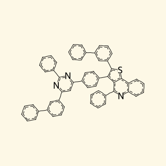 c1ccc(-c2cccc(-c3cc(-c4ccc(-c5c(-c6cccc(-c7ccccc7)c6)sc6c5c(-c5ccccc5)nc5ccccc56)cc4)nc(-c4ccccc4)n3)c2)cc1